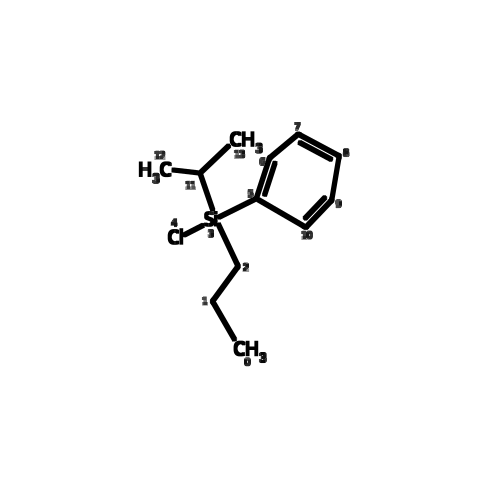 CCC[Si](Cl)(c1ccccc1)C(C)C